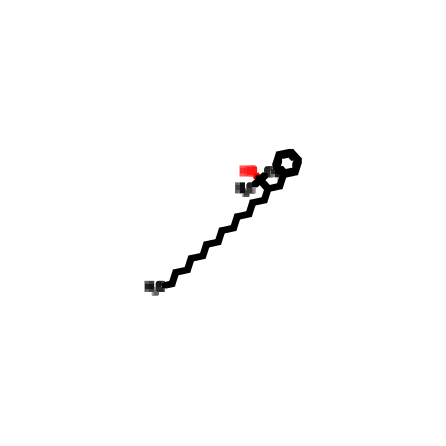 CCCCCCCCCCCCCCC(Cc1ccccc1)C(C)(C)O